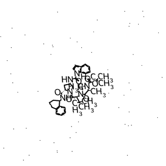 C[C@@H](C(=O)N[C@H](C(=O)N1C[C@@H](NC(=O)n2ccc3ccccc32)C[C@H]1C(=O)NC1CCCc2ccccc21)C(C)(C)C)N(C)C(=O)OC(C)(C)C